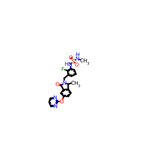 CNS(=O)(=O)Nc1cccc(CN2C(=O)c3cc(Oc4ncccn4)ccc3C2C)c1F